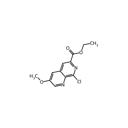 CCOC(=O)c1cc2cc(OC)cnc2c(Cl)n1